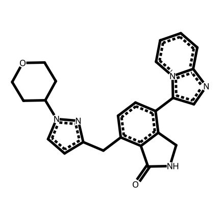 O=C1NCc2c(-c3cnc4ccccn34)ccc(Cc3ccn(C4CCOCC4)n3)c21